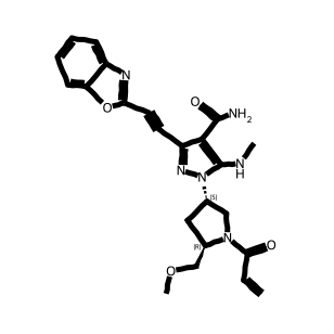 C=CC(=O)N1C[C@@H](n2nc(C#Cc3nc4ccccc4o3)c(C(N)=O)c2NC)C[C@@H]1COC